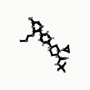 COCOc1cc(Cl)cnc1-c1cnc(N2CCN(C(=O)OC(C)(C)C)[C@@H](C3CC3)C2)nn1